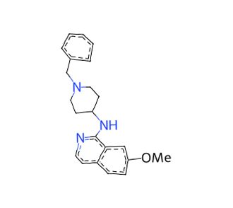 COc1ccc2ccnc(NC3CCN(Cc4ccccc4)CC3)c2c1